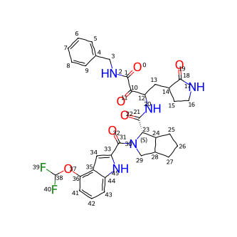 O=C(NCc1ccccc1)C(=O)C(CC1CCNC1=O)NC(=O)[C@@H]1C2CCCC2CN1C(=O)c1cc2c(OC(F)F)cccc2[nH]1